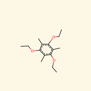 CCOc1c(C)c(OCC)c(C)c(OCC)c1C